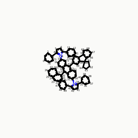 c1ccc(-c2ccc(-c3ccccc3)n2-c2ccc3c(-c4cccc5ccccc45)c4cc(-n5c(-c6ccccc6)ccc5-c5ccccc5)ccc4c(-c4ccc5c(c4)C4(CCCC4)c4ccccc4-5)c3c2)cc1